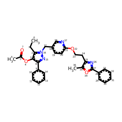 CCc1c(OC(C)=O)c(-c2ccccc2)nn1Cc1ccc(OCCc2nc(-c3ccccc3)oc2C)nc1